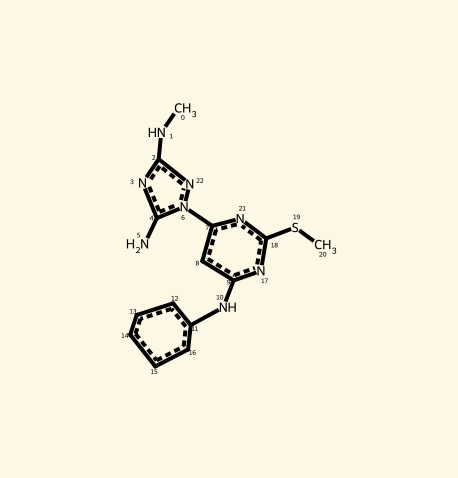 CNc1nc(N)n(-c2cc(Nc3ccccc3)nc(SC)n2)n1